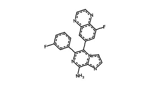 Nc1nc(-c2cccc(F)c2)c(-c2cc(F)c3nccnc3c2)n2ccnc12